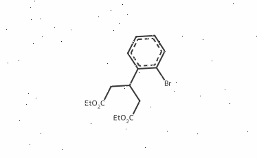 CCOC(=O)CC(CC(=O)OCC)c1ccccc1Br